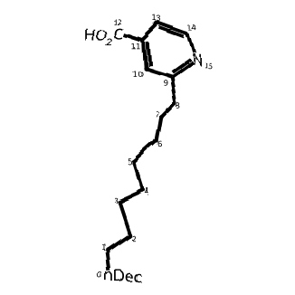 CCCCCCCCCCCCCCCCCCc1cc(C(=O)O)ccn1